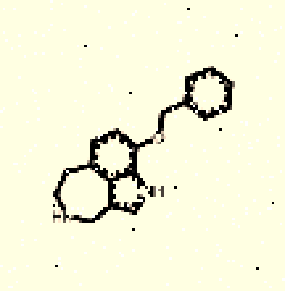 c1ccc(COc2ccc3c4c(c[nH]c24)CNCC3)cc1